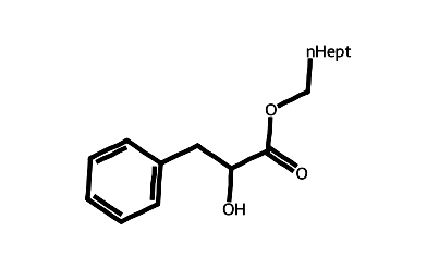 CCCCCCCCOC(=O)C(O)Cc1ccccc1